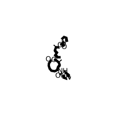 C/C(=C\C=C\[C@@H](C)COC(=O)N1CCCC1)[C@H]1OC(=O)CCCCC[C@H](NC(=O)N2CCN(C)CC2)/C=C/[C@@H]1C